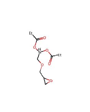 CCC(=O)O[SiH](COCC1CO1)OC(=O)CC